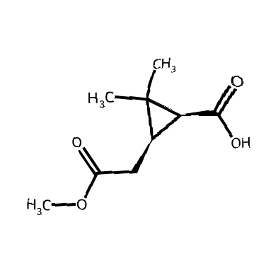 COC(=O)C[C@@H]1[C@H](C(=O)O)C1(C)C